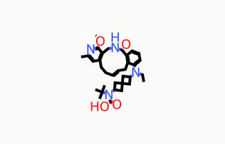 CCN(c1cccc2c1C/C=C/CCc1cc(C)nc(OC)c1CNC2=O)C1CC2(C1)CC(N(C(=O)O)C(C)(C)C)C2